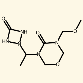 COCN1COCN(C(C)n2[nH]c(=O)[nH]2)C1=O